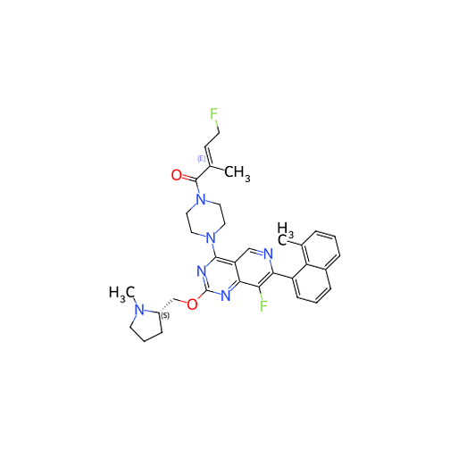 C/C(=C\CF)C(=O)N1CCN(c2nc(OC[C@@H]3CCCN3C)nc3c(F)c(-c4cccc5cccc(C)c45)ncc23)CC1